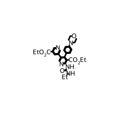 CCNC(=O)Nc1ncc(-c2cncc(C(=O)OCC)c2)c(-c2ccc(N3CCOCC3)cc2)c1C(=O)OCC